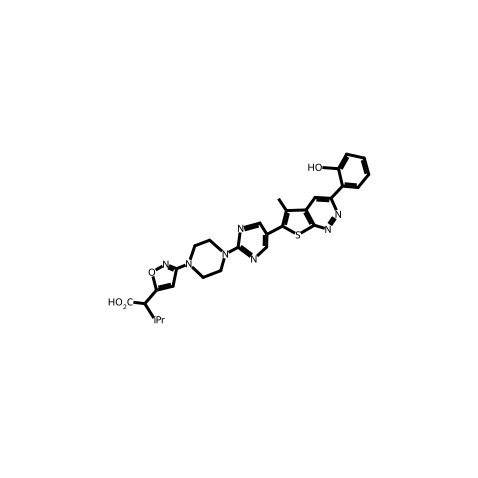 Cc1c(-c2cnc(N3CCN(c4cc(C(C(=O)O)C(C)C)on4)CC3)nc2)sc2nnc(-c3ccccc3O)cc12